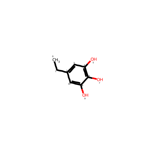 CCc1cc(O)c(O)c(O)c1